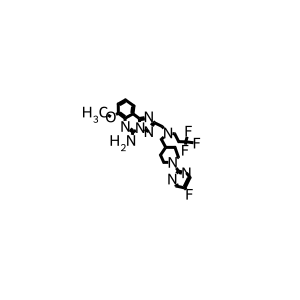 COc1cccc2c1nc(N)n1nc(CN(CCC(F)(F)F)CC3CCN(c4ncc(F)cn4)CC3)nc21